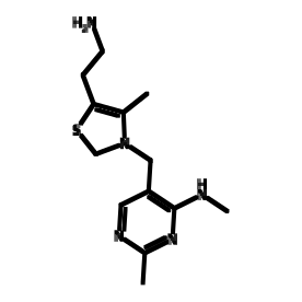 CNc1nc(C)ncc1CN1CSC(CCN)=C1C